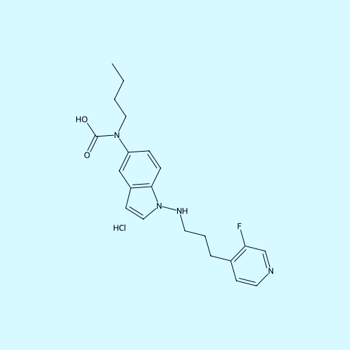 CCCCN(C(=O)O)c1ccc2c(ccn2NCCCc2ccncc2F)c1.Cl